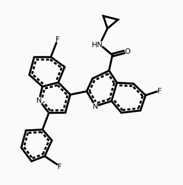 O=C(NC1CC1)c1cc(-c2cc(-c3cccc(F)c3)nc3ccc(F)cc23)nc2ccc(F)cc12